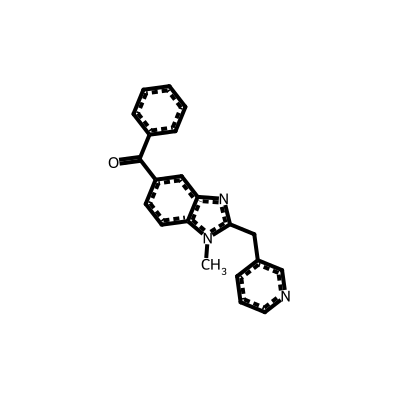 Cn1c(Cc2cccnc2)nc2cc(C(=O)c3ccccc3)ccc21